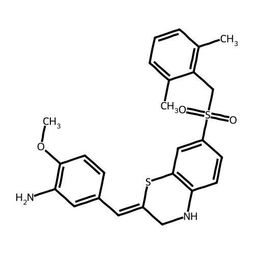 COc1ccc(C=C2CNc3ccc(S(=O)(=O)Cc4c(C)cccc4C)cc3S2)cc1N